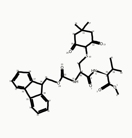 COC(=O)[C@@H](NC(=O)[C@H](CSC1C(=O)CC(C)(C)CC1=O)NC(=O)OCC1c2ccccc2-c2ccccc21)C(C)C